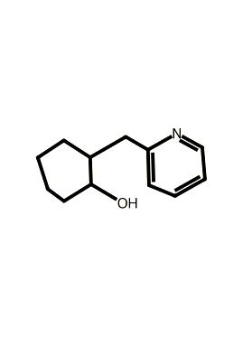 OC1CCCCC1Cc1ccccn1